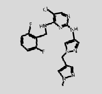 Cn1cc(Cn2cc(Nc3ncc(Cl)c(NCc4c(F)cccc4F)n3)cn2)cn1